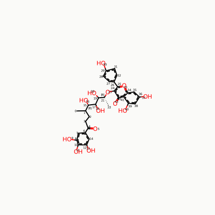 CC(CCC(=O)c1cc(O)c(O)c(O)c1)[C@@H](O)C(O)C(O)[C@@H](C)Oc1c(-c2ccc(O)cc2)oc2cc(O)cc(O)c2c1=O